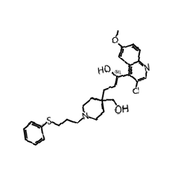 COc1ccc2ncc(Cl)c([C@H](O)CCC3(CO)CCN(CCCSc4ccccc4)CC3)c2c1